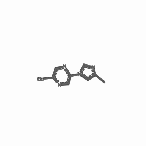 CCC(C)c1cnc(-n2cnc(C)c2)cn1